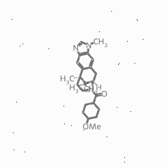 COC1CCC(C(=O)N2CC[C@@]3(C)c4cc5ncn(C)c5cc4C[C@@H]2C3(C)C)CC1